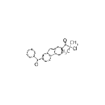 CC(C)(Cl)C(=O)c1ccc2c(c1)Cc1cc(C(=O)c3ccccc3)ccc1-2